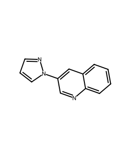 c1ccc2ncc(-n3cccn3)cc2c1